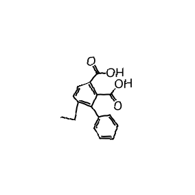 CCc1ccc(C(=O)O)c(C(=O)O)c1-c1ccccc1